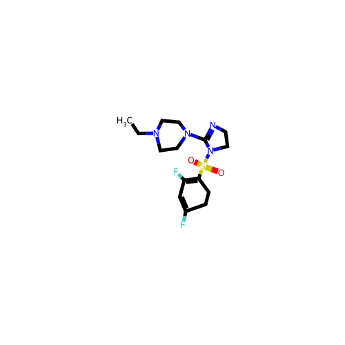 CCN1CCN(C2=NCCN2S(=O)(=O)C2=C(F)C=C(F)CC2)CC1